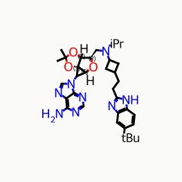 CC(C)N(C[C@H]1O[C@H]2C(n3cnc4c(N)ncnc43)[C@]23OC(C)(C)O[C@H]13)C1CC(CCc2nc3cc(C(C)(C)C)ccc3[nH]2)C1